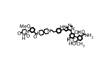 COc1ccc(C(=O)N2CCC3(CCN(CCc4ccc(-c5cc6c(-c7cc(F)cc(-c8c(C(C)(C)O)ccc(C(N)=O)c8F)c7C)ncnc6[nH]5)cc4)CC3)CC2)cc1N1CCC(=O)NC1=O